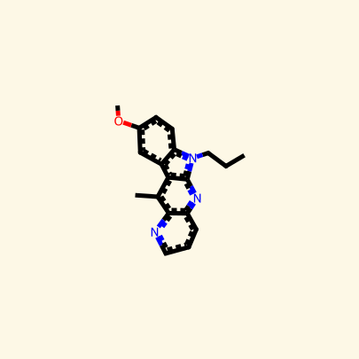 CCCn1c2ccc(OC)cc2c2c(C)c3ncccc3nc21